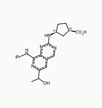 CC(C)Nc1nc(C(C)O)cc2cnc(N[C@H]3CC[C@@H](C(=O)O)C3)nc12